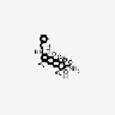 CN(C)c1cc(NCCc2ccccc2)c(O)c2c1CC1CC3C(N(C)C)C(O)=C(C(N)=O)C(=O)C3(O)C(O)=C1C2=O